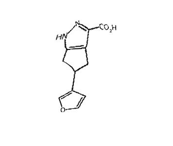 O=C(O)c1n[nH]c2c1CC(c1ccoc1)C2